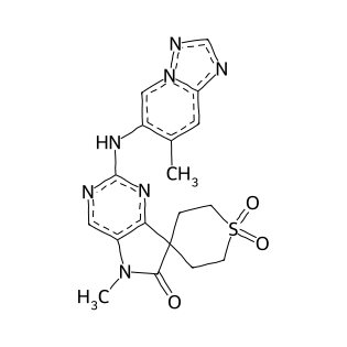 Cc1cc2ncnn2cc1Nc1ncc2c(n1)C1(CCS(=O)(=O)CC1)C(=O)N2C